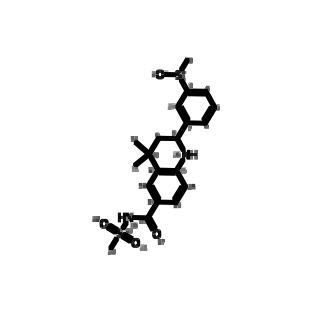 C[S+]([O-])c1cccc(C2CC(C)(C)c3cc(C(=O)NS(C)(=O)=O)ccc3N2)c1